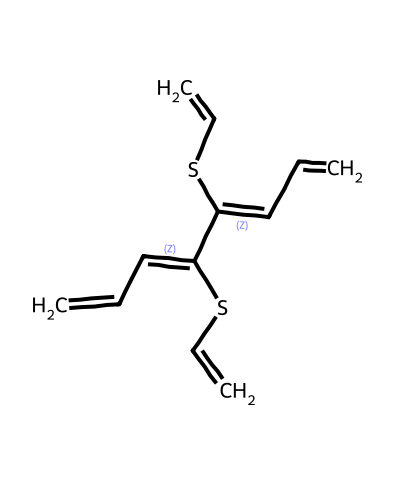 C=C/C=C(SC=C)/C(=C/C=C)SC=C